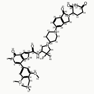 COc1cc(-c2cn(C)c(=O)c3cc(C(=O)NC4CN(C5CCN(c6ccc7c(c6)CN(C6CCC(=O)NC6=O)C7=O)CC5)CC4(F)F)sc23)cc(OC)c1CN(C)C